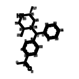 CC(=O)c1ccc(C(c2ccccc2)N2C[C@@H](C)NC[C@@H]2C)cc1